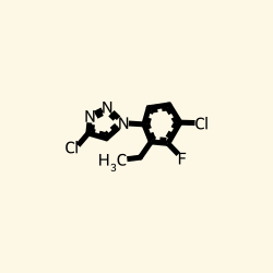 CCc1c(-n2cc(Cl)nn2)ccc(Cl)c1F